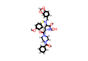 COc1ccc(SN(Cc2ccc3c(c2)OCO3)C(CCC(=O)N2CCN(C(=O)c3ccccc3)CC2)C(=O)NO)cc1